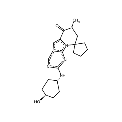 CN1CC2(CCCC2)n2c(cc3cnc(N[C@H]4CC[C@H](O)CC4)nc32)C1=O